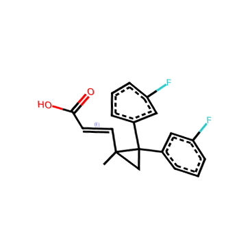 CC1(/C=C/C(=O)O)CC1(c1cccc(F)c1)c1cccc(F)c1